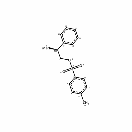 CN[C@H](COS(=O)(=O)c1ccc(C)cc1)c1ccccc1